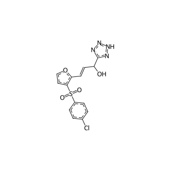 O=S(=O)(c1ccc(Cl)cc1)c1ccoc1C=CC(O)c1nn[nH]n1